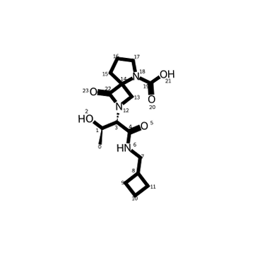 C[C@@H](O)[C@@H](C(=O)NCC1CCC1)N1CC2(CCCN2C(=O)O)C1=O